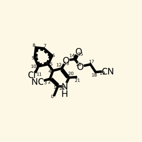 CC1=C(C#N)C(c2ccccc2Cl)C(OC(=O)OCCC#N)=C(C)N1